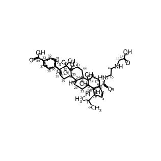 CC(C)[C@@H]1CC[C@]2(C(=O)NCCNCC(=O)O)CC[C@]3(C)[C@H](CC[C@@H]4[C@@]5(C)CC=C(c6ccc(C(=O)O)cc6)C(C)(C)[C@@H]5CC[C@]43C)[C@@H]12